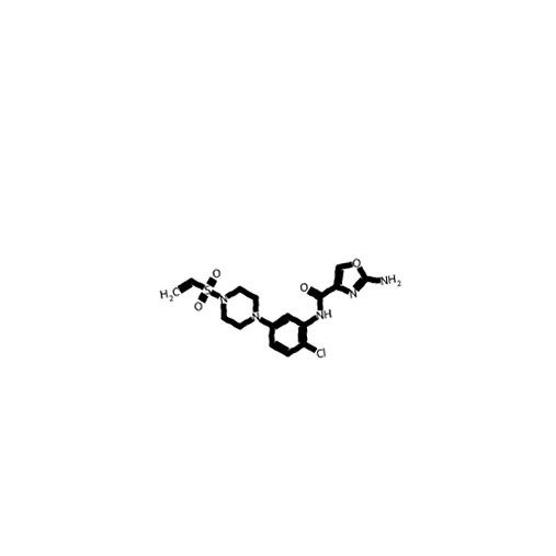 C=CS(=O)(=O)N1CCN(c2ccc(Cl)c(NC(=O)c3coc(N)n3)c2)CC1